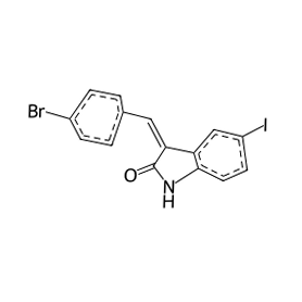 O=C1Nc2ccc(I)cc2C1=Cc1ccc(Br)cc1